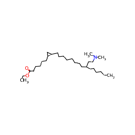 CCCCCCC(CCCCCCCCC1CC1CCCCCC(=O)OCC)CCN(C)C